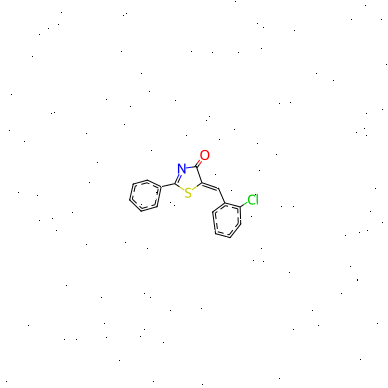 O=C1N=C(c2ccccc2)SC1=Cc1ccccc1Cl